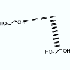 C=C.C=C.C=C.C=C.C=C.C=C.C=C.C=C.C=C.C=C.C=C.C=C.OCCO.OCCO